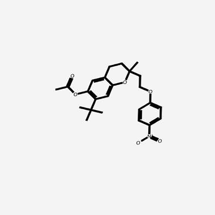 CC(=O)Oc1cc2c(cc1C(C)(C)C)OC(C)(CCOc1ccc([N+](=O)[O-])cc1)CC2